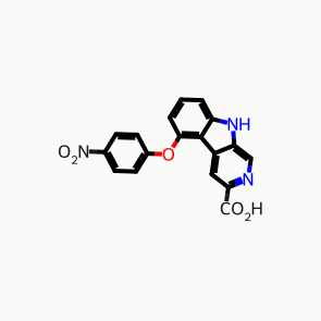 O=C(O)c1cc2c(cn1)[nH]c1cccc(Oc3ccc([N+](=O)[O-])cc3)c12